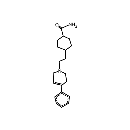 NC(=O)C1CCC(CCN2CC=C(c3ccccc3)CC2)CC1